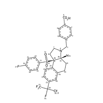 O=C(O)c1ccc(CN2CC[C@@]3(S(=O)(=O)c4ccc(F)cc4)c4ccc(C(F)(C(F)(F)F)C(F)(F)F)cc4CC[C@@H]23)cc1